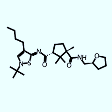 CCCCc1cn(C(C)(C)C)s/c1=N\C(=O)[C@@H]1CC[C@](C)(C(=O)NC[C@@H]2CCCO2)C1(C)C